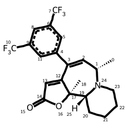 C[C@H]1C=C(c2cc(C(F)(F)F)cc(C(F)(F)F)c2)C2=CC(=O)O[C@]2(C)[C@H]2CCCCN12